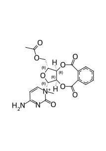 CC(=O)OC[C@H]1O[C@@H]([N+]2(C)C=CC(N)=NC2=O)[C@@H]2OC(=O)c3ccccc3C(=O)O[C@@H]21